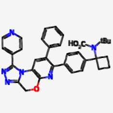 CC(C)(C)N(C(=O)O)C1(c2ccc(-c3nc4c(cc3-c3ccccc3)-n3c(nnc3-c3ccncc3)CO4)cc2)CCC1